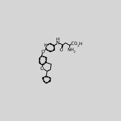 NC(CC(=O)Nc1ccc(Oc2ccc3c(c2)CCC(c2ccccc2)O3)nc1)C(=O)O